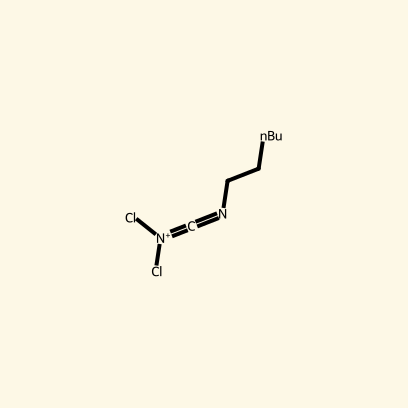 CCCCCCN=C=[N+](Cl)Cl